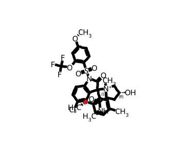 CNC(=O)[C@@H]1C[C@@H](O)C[N+]1(C)C1(c2cc(C)ccc2OC)C(=O)N(S(=O)(=O)c2ccc(OC)cc2OC(F)(F)F)c2ccc(Cl)cc21